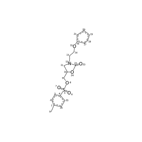 Cc1ccc(S(=O)(=O)OCC2CN(CCOc3ccccc3)C(=O)O2)cc1